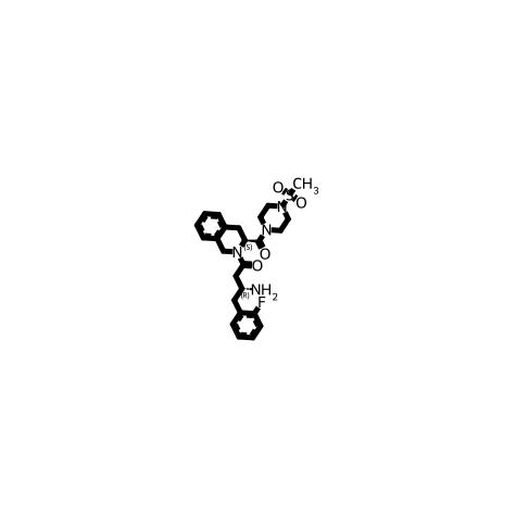 CS(=O)(=O)N1CCN(C(=O)[C@@H]2Cc3ccccc3CN2C(=O)C[C@H](N)Cc2ccccc2F)CC1